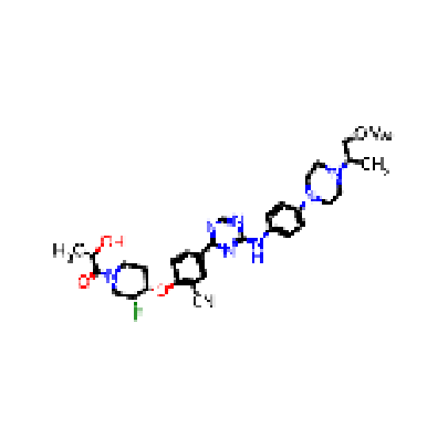 COCC(C)N1CCN(c2ccc(Nc3ncnc(-c4ccc(O[C@H]5CCN(C(=O)[C@@H](C)O)C[C@H]5F)c(C#N)c4)n3)cc2)CC1